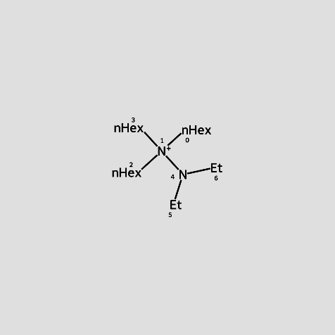 CCCCCC[N+](CCCCCC)(CCCCCC)N(CC)CC